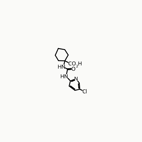 O=C(Nc1ccc(Cl)cn1)NC1(C(=O)O)CCCCC1